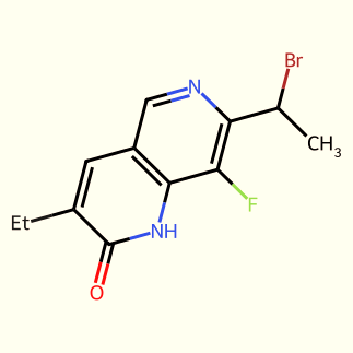 CCc1cc2cnc(C(C)Br)c(F)c2[nH]c1=O